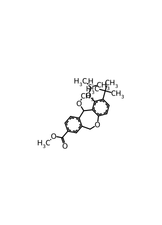 COC(=O)c1ccc2c(c1)COc1ccc(C(C)(C)C)c(O[SiH](C)C)c1C2OC